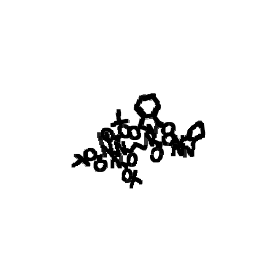 CC(C)(C)OC(=O)/N=C(/NC(=O)OC(C)(C)C)N(CCCN(C(=O)On1nnc2ccccc21)N1C(=O)c2ccccc2C1=O)C(=O)OC(C)(C)C